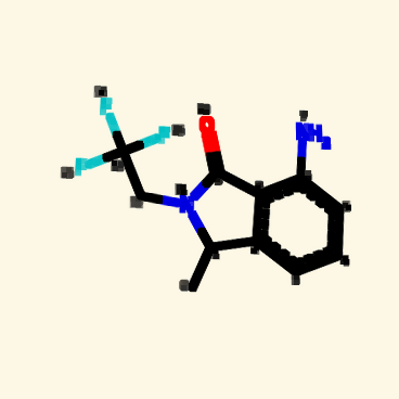 CC1c2cccc(N)c2C(=O)N1CC(F)(F)F